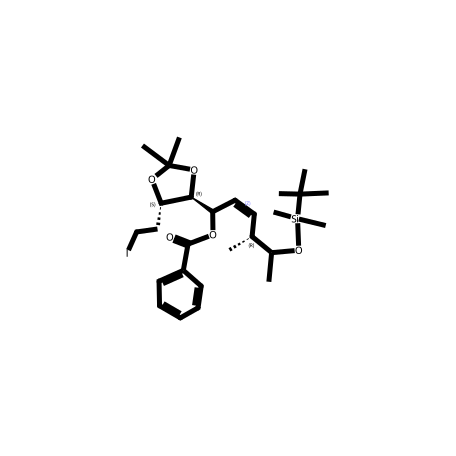 CC(O[Si](C)(C)C(C)(C)C)[C@H](C)/C=C\C(OC(=O)c1ccccc1)[C@@H]1OC(C)(C)O[C@H]1CCI